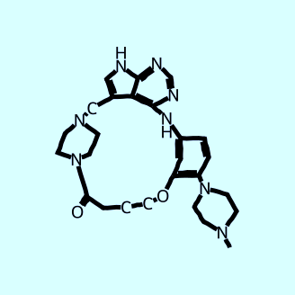 CN1CCN(c2ccc3cc2OCCCC(=O)N2CCN(CC2)Cc2c[nH]c4ncnc(c24)N3)CC1